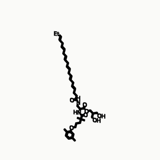 CCC=CCC=CCC=CCC=CCC=CCC=CCCC(=O)NCC(NC(=O)C(C)(C)CCCOc1cc(C)ccc1C)C(=O)OCC(CO)CO